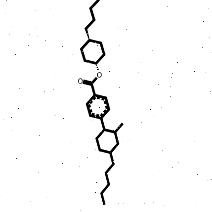 CCCCCC1CCC(c2ccc(C(=O)O[C@H]3CC[C@H](CCCC)CC3)cc2)C(C)C1